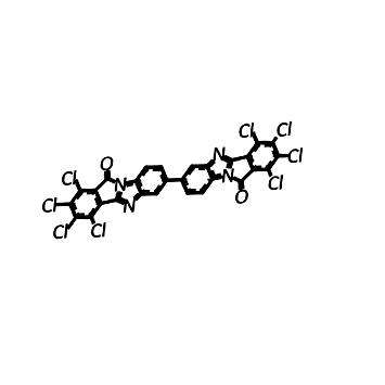 O=C1c2c(Cl)c(Cl)c(Cl)c(Cl)c2-c2nc3cc(-c4ccc5c(c4)nc4n5C(=O)c5c(Cl)c(Cl)c(Cl)c(Cl)c5-4)ccc3n21